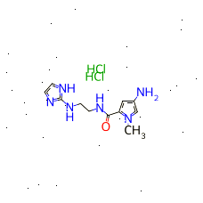 Cl.Cl.Cn1cc(N)cc1C(=O)NCCNc1ncc[nH]1